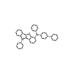 c1ccc(-c2ccc(N(c3ccccc3)c3cccc4c3sc3c5ccccc5n(-c5ccccc5)c43)cc2)cc1